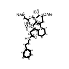 CC[C@H](C)[C@H](NC(=O)CNC)C(=O)N(C)[C@H](C(CC(=O)N1CCCCC1[C@H](OC)[C@@H](C)C(=O)NCCc1ccccc1)OC)[C@@H](C)CC